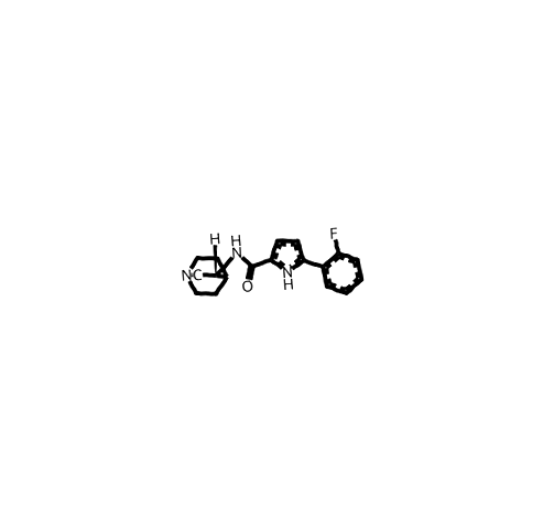 O=C(N[C@H]1CN2CCC1CC2)c1ccc(-c2ccccc2F)[nH]1